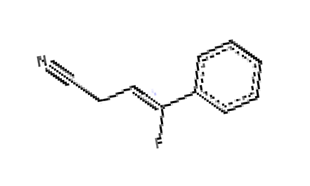 N#CC/C=C(\F)c1ccccc1